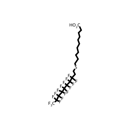 O=C(O)CCCCCCCCCCSCCC(F)(F)C(F)(F)C(F)(F)C(F)(F)C(F)(F)C(F)(F)C(F)(F)C(F)(F)F